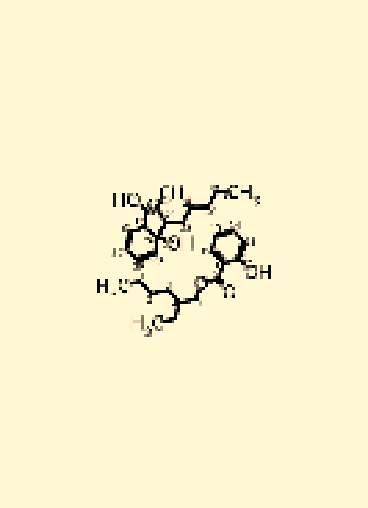 CCCCC(CC)COC(=O)c1ccccc1O.CCCCCC(CC)C1(O)C=CC=CC1C(=O)O